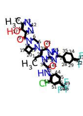 CCc1c(N2CCN(C(=O)c3ncnc(C)c3O)C3CCC32)c(=O)n2nc(C3=CCC(=C(F)F)CC3)nc2n1CC(=O)Nc1ccc(C(F)(F)F)cc1Cl